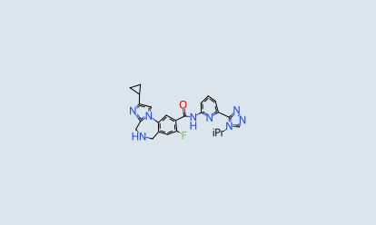 CC(C)n1cnnc1-c1cccc(NC(=O)c2cc3c(cc2F)CNCc2nc(C4CC4)cn2-3)n1